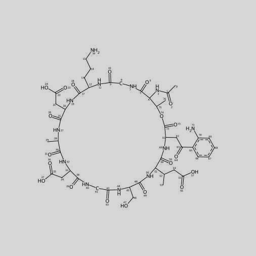 CC(=O)NC1C(=O)NCC(=O)NC(CCCN)C(=O)NC(CC(=O)O)C(=O)NC(C)C(=O)NC(CC(=O)O)C(=O)NCC(=O)NC(CO)C(=O)NC(C(C)CC(=O)O)C(=O)NC(CC(=O)c2ccccc2N)C(=O)OC1C